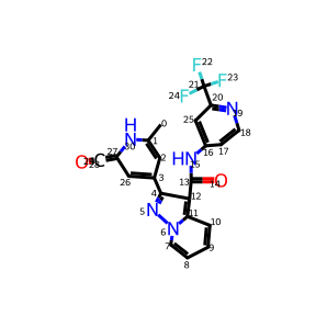 CC1=CC(c2nn3ccccc3c2C(=O)Nc2ccnc(C(F)(F)F)c2)=CC(=C=O)N1